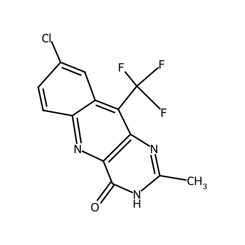 Cc1nc2c(C(F)(F)F)c3cc(Cl)ccc3nc2c(=O)[nH]1